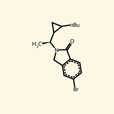 CCCCC1CC1[C@H](C)N1Cc2cc(Br)ccc2C1=O